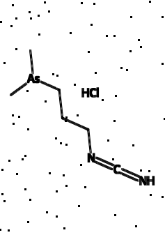 C[As](C)CCCN=C=N.Cl